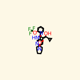 N#Cc1ccc(N2C3CCC2CC(OC/C(C(=N)c2ccccc2OC(F)(F)F)=C(/O)C2CC2)C3)nc1